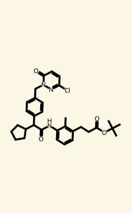 Cc1c(CCC(=O)OC(C)(C)C)cccc1NC(=O)C(c1ccc(Cn2nc(Cl)ccc2=O)cc1)C1CCCC1